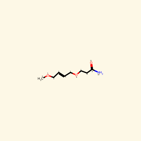 COC/C=C/COCCC(N)=O